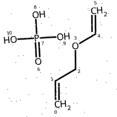 C=CCOC=C.O=P(O)(O)O